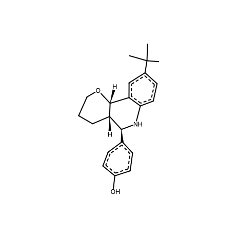 CC(C)(C)c1ccc2c(c1)[C@H]1OCCC[C@H]1[C@H](c1ccc(O)cc1)N2